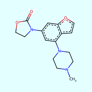 CN1CCN(c2cc(N3CCOC3=O)cc3occc23)CC1